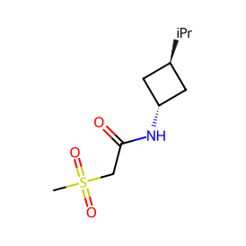 CC(C)[C@H]1C[C@H](NC(=O)CS(C)(=O)=O)C1